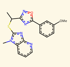 COc1cccc(-c2nc(C(C)Sc3nc4ncccc4n3C)no2)c1